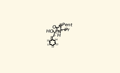 CCCCCN1C(=O)[C@H]([C@H](O)[CH]Cc2ccccc2)NC1C(C)C